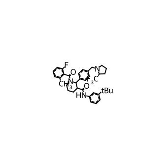 Cc1cccc(F)c1C(=O)N1CCCC(C(=O)Nc2cccc(C(C)(C)C)c2)C1c1ccc(CN2CCCC2C(F)(F)F)cc1